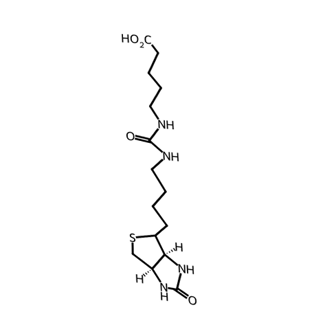 O=C(O)CCCCNC(=O)NCCCCC1SC[C@@H]2NC(=O)N[C@H]12